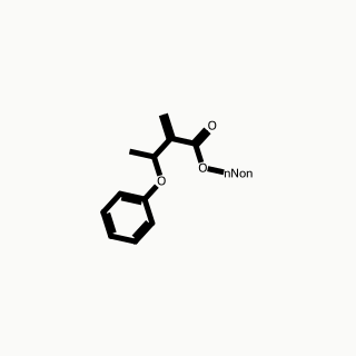 C=C(C(=O)OCCCCCCCCC)C(C)Oc1ccccc1